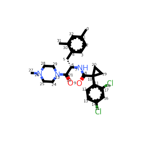 Cc1ccc(C[C@H](NC(=O)C2(c3ccc(Cl)cc3Cl)CC2)C(=O)N2CCN(C)CC2)c(C)c1